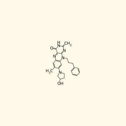 C=c1nc2c(c(=O)[nH]1)=Nc1cc(C)c(N3CCC(O)C3)cc1N2CCCc1ccccc1